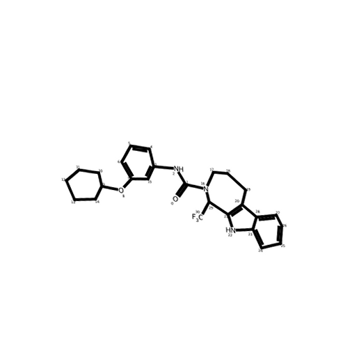 O=C(Nc1cccc(OC2CCCCC2)c1)N1CCCc2c([nH]c3ccccc23)C1C(F)(F)F